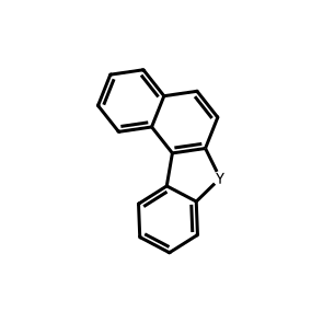 c1ccc2[c](c1)[Y][c]1ccc3ccccc3c1-2